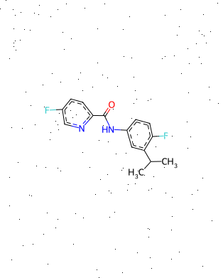 CC(C)c1cc(NC(=O)c2ccc(F)cn2)ccc1F